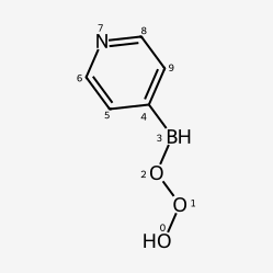 OOOBc1ccncc1